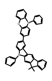 CC1(C)c2ccccc2-c2cc3c4cc(-c5ccc6c(c5)Oc5ccccc5N6c5ccccc5)ccc4n(-c4ccccc4)c3cc21